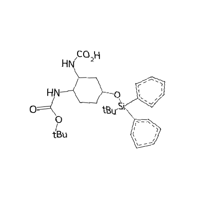 CC(C)(C)OC(=O)NC1CCC(O[Si](c2ccccc2)(c2ccccc2)C(C)(C)C)CC1NC(=O)O